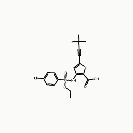 CCOP(=O)(Nc1cc(C#CC(C)(C)C)sc1C(=O)O)c1ccc(Cl)cc1